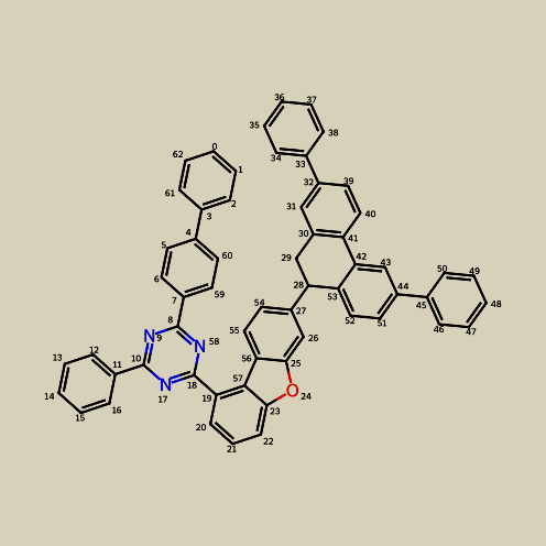 c1ccc(-c2ccc(-c3nc(-c4ccccc4)nc(-c4cccc5oc6cc(C7Cc8cc(-c9ccccc9)ccc8-c8cc(-c9ccccc9)ccc87)ccc6c45)n3)cc2)cc1